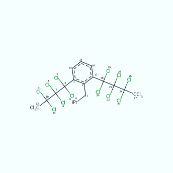 CC(C)[CH]c1c(C(Cl)(Cl)C(Cl)(Cl)C(Cl)(Cl)C(Cl)(Cl)Cl)cccc1C(Cl)(Cl)C(Cl)(Cl)C(Cl)(Cl)C(Cl)(Cl)Cl